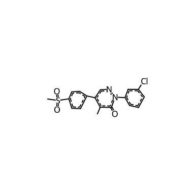 Cc1c(-c2ccc(S(C)(=O)=O)cc2)cnn(-c2cccc(Cl)c2)c1=O